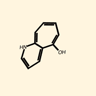 OC1=CC=CC=C2NC=CC=C12